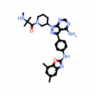 CNC(C)(C)C(=O)N1CCCC(n2nc(-c3ccc(Nc4nc5cc(C)cc(C)c5o4)cc3)c3c(N)ncnc32)C1